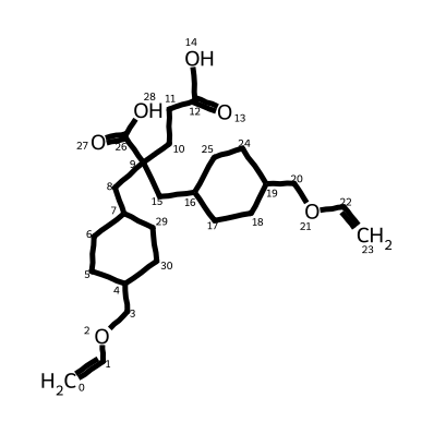 C=COCC1CCC(CC(CCC(=O)O)(CC2CCC(COC=C)CC2)C(=O)O)CC1